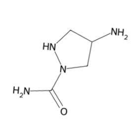 NC(=O)N1CC(N)CN1